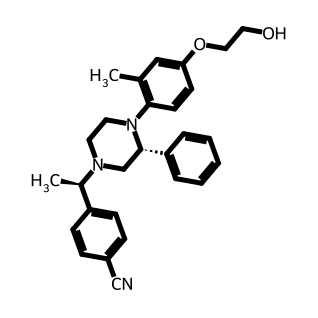 Cc1cc(OCCO)ccc1N1CCN([C@H](C)c2ccc(C#N)cc2)C[C@H]1c1ccccc1